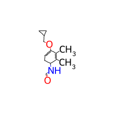 CC1=C(C)C(NC=O)CC=C1OCC1CC1